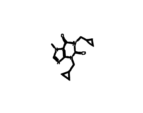 Cn1cnc2c1c(=O)n(CC1CC1)c(=O)n2CC1CC1